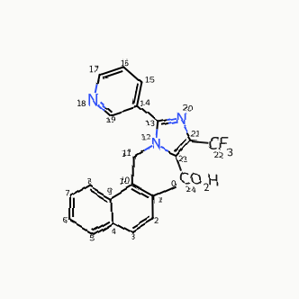 Cc1ccc2ccccc2c1Cn1c(-c2cccnc2)nc(C(F)(F)F)c1C(=O)O